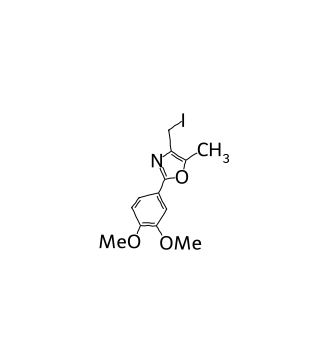 COc1ccc(-c2nc(CI)c(C)o2)cc1OC